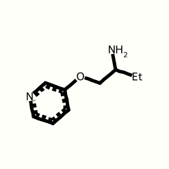 CCC(N)COc1cccnc1